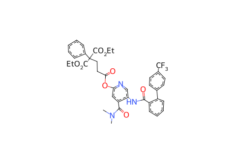 CCOC(=O)C(CCC(=O)Oc1cc(C(=O)N(C)C)c(NC(=O)c2ccccc2-c2ccc(C(F)(F)F)cc2)cn1)(C(=O)OCC)c1ccccc1